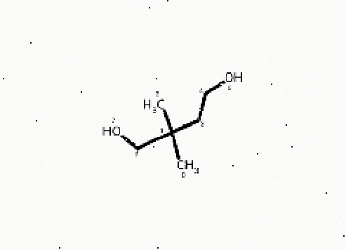 CC(C)([CH]CO)CO